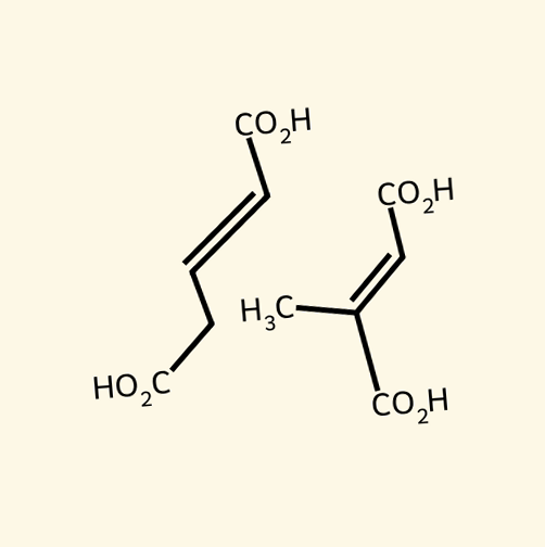 CC(=CC(=O)O)C(=O)O.O=C(O)C=CCC(=O)O